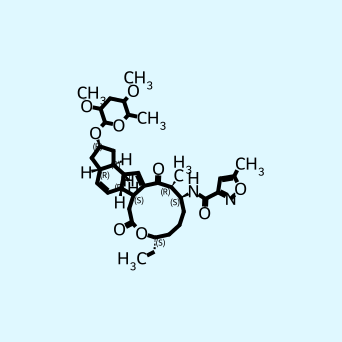 CC[C@H]1CCC[C@H](NC(=O)c2cc(C)on2)[C@@H](C)C(=O)C2=C[C@@H]3[C@@H](C=C[C@@H]4C[C@@H](OC5OC(C)C(OC)CC5OC)C[C@@H]34)[C@@H]2CC(=O)O1